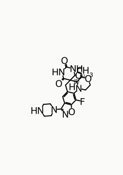 C[C@@H]1OCCN2c3c(cc4c(N5CCNCC5)noc4c3F)CC3(C(=O)NC(=O)NC3=O)[C@@H]12